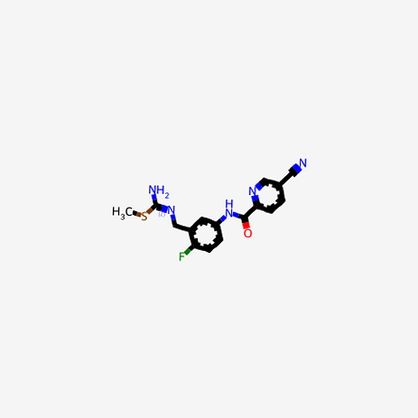 CS/C(N)=N\Cc1cc(NC(=O)c2ccc(C#N)cn2)ccc1F